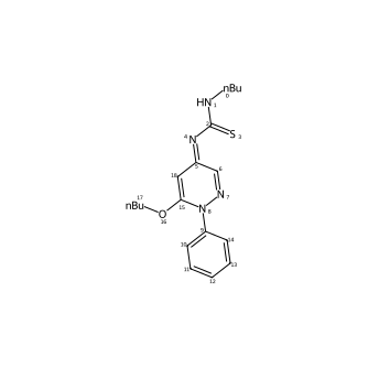 CCCCNC(=S)N=c1cnn(-c2ccccc2)c(OCCCC)c1